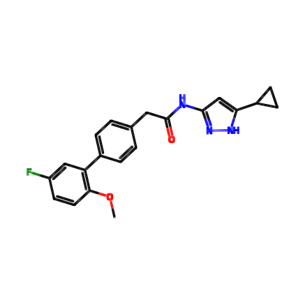 COc1ccc(F)cc1-c1ccc(CC(=O)Nc2cc(C3CC3)[nH]n2)cc1